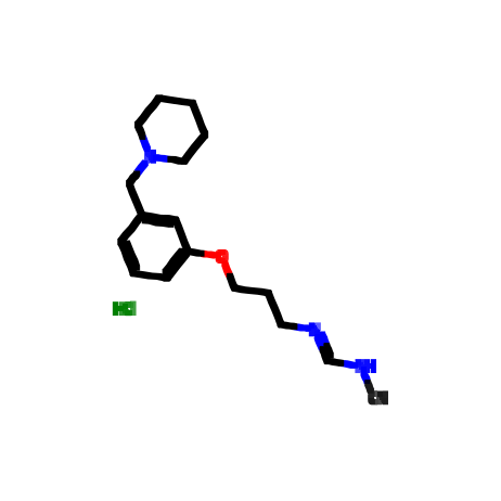 Cl.N#CN/C=N/CCCOc1cccc(CN2CCCCC2)c1